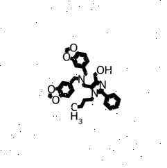 CCCCn1c(-c2ccccc2)nc(CO)c1CN(Cc1ccc2c(c1)OCO2)Cc1ccc2c(c1)OCO2